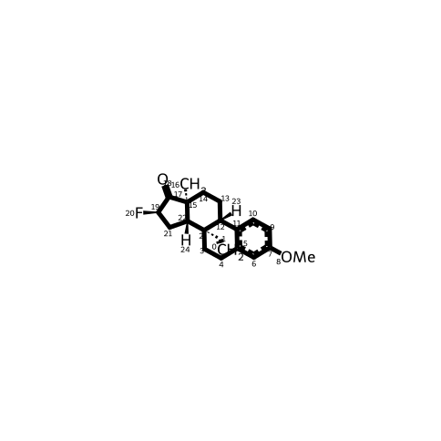 C=C[C@@]12CCc3cc(OC)ccc3[C@H]1CC[C@]1(C)C(=O)[C@H](F)C[C@@H]21